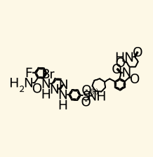 NC(=O)c1c(F)cccc1Nc1nc(Nc2ccc(S(=O)(=O)N[C@@H]3CCCC(Cc4cccc5c4C(=O)N(C4CCC(=O)NC4=O)C5=O)CC3)cc2)ncc1Br